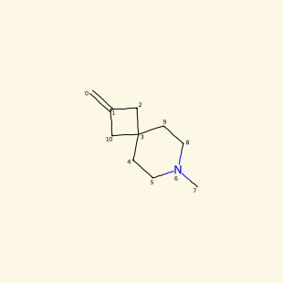 C=C1CC2(CCN(C)CC2)C1